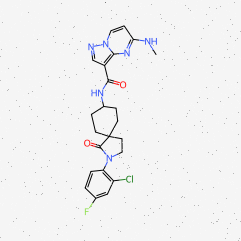 CNc1ccn2ncc(C(=O)NC3CCC4(CC3)CCN(c3ccc(F)cc3Cl)C4=O)c2n1